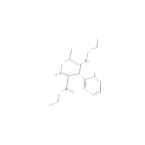 CCOC(=O)C1=C(C)NC(C)=C(C(=O)OCC)C1c1ccccc1Br